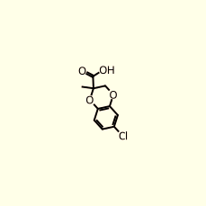 CC1(C(=O)O)COc2cc(Cl)ccc2O1